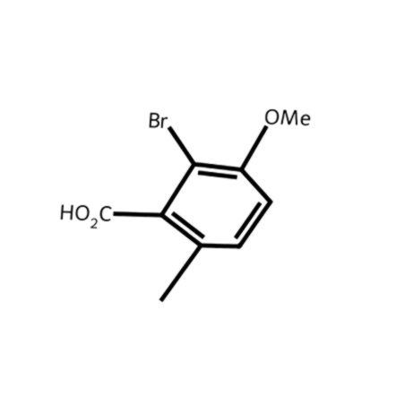 COc1ccc(C)c(C(=O)O)c1Br